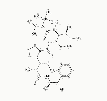 CC[C@H](C)[C@@H]([C@@H](CC(=O)N1CCC[C@H]1[C@H](OC)[C@@H](C)C(=O)N[C@H](C)[C@@H](O)c1ccccc1)OC)N(C)C(=O)[C@H](C(C)C)[N+](C)(C)C